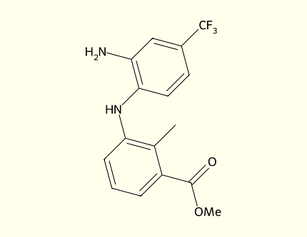 COC(=O)c1cccc(Nc2ccc(C(F)(F)F)cc2N)c1C